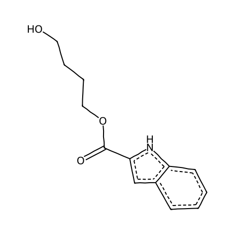 O=C(OCCCCO)c1cc2ccccc2[nH]1